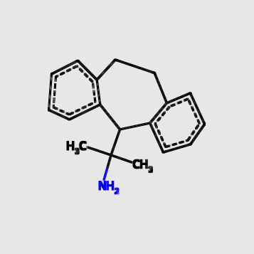 CC(C)(N)C1c2ccccc2CCc2ccccc21